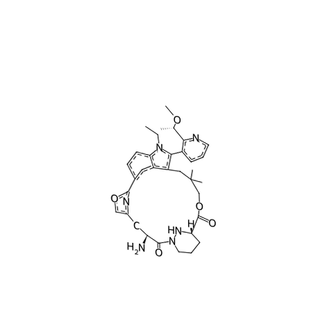 CCn1c(-c2cccnc2[C@H](C)OC)c2c3cc(ccc31)-c1nc(co1)C[C@H](N)C(=O)N1CCC[C@H](N1)C(=O)OCC(C)(C)C2